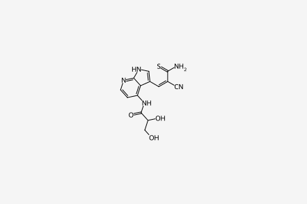 N#C/C(=C/c1c[nH]c2nccc(NC(=O)C(O)CO)c12)C(N)=S